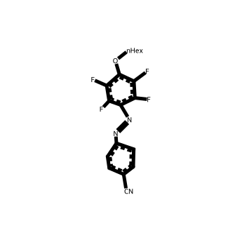 CCCCCCOc1c(F)c(F)c(/N=N/c2ccc(C#N)cc2)c(F)c1F